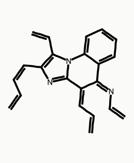 C=C/C=C\c1nc2c(=C/C=C)/c(=N\C=C)c3ccccc3n2c1C=C